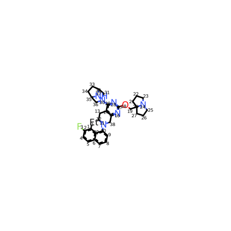 CCc1c(F)ccc2cccc(N3CCc4c(nc(OCC56CCCN5CCC6)nc4N4CC5CCC(C4)N5)C3)c12